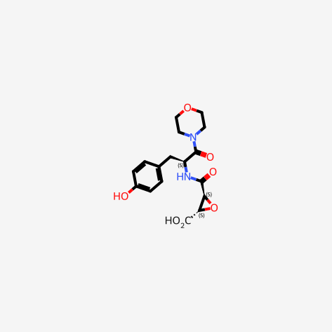 O=C(O)[C@H]1O[C@@H]1C(=O)N[C@@H](Cc1ccc(O)cc1)C(=O)N1CCOCC1